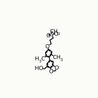 Cc1cc(OCCCS(C)(=O)=O)cc(C)c1-c1cc(CO)c2c(c1)OCO2